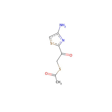 CC(=O)SCC(=O)c1nc(N)cs1